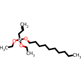 C=CC[Si](OCC)(OCC)OCCCCCCCCCC